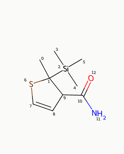 CC1([Si](C)(C)C)SC=CC1C(N)=O